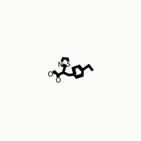 CCc1ccc(CC(C(=O)C=O)C2=NCCS2)cc1